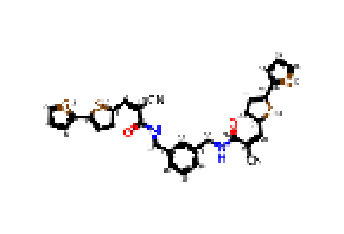 N#C/C(=C/C1CC=C(c2cccs2)S1)C(=O)NCc1cccc(CNC(=O)/C(C#N)=C\C2CC=C(c3cccs3)S2)c1